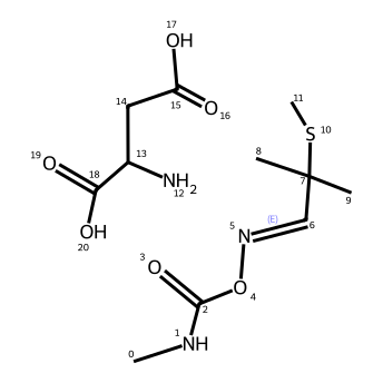 CNC(=O)O/N=C/C(C)(C)SC.NC(CC(=O)O)C(=O)O